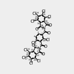 O=C(c1ccc(Cl)c(C(=O)N2C(=O)c3c(Cl)c(Cl)c(Cl)c(Cl)c3C2=O)c1Cl)N1C(=O)c2c(Cl)c(Cl)c(Cl)c(Cl)c2C1=O